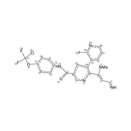 CN/C(=C\C=N)c1ncc(C(=O)Nc2ccc(OC(F)(F)Cl)cc2)cc1-c1cccnc1F